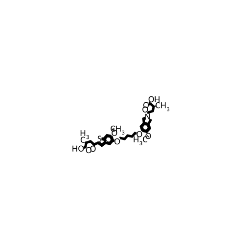 COc1cc2c(cc1OCCCCCOc1cc3cc(C(=O)C[C@H](C)C(=O)O)sc3cc1OC)CN(C(=O)C[C@H](C)C(=O)O)C2